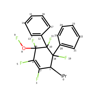 CC(C)C1C(F)=C(F)C(F)(OF)C(F)(c2ccccc2)C1(F)c1ccccc1